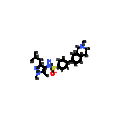 Cc1c(N[S+]([O-])c2ccc(-c3ccc4c(c3)CN(C)CC4)cc2)c(CC(C)C)nn1C